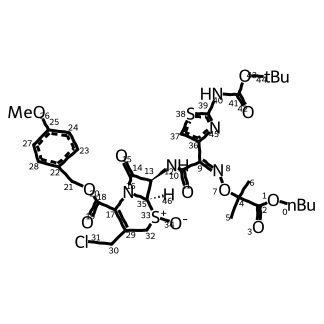 CCCCOC(=O)C(C)(C)O/N=C(\C(=O)N[C@@H]1C(=O)N2C(C(=O)OCc3ccc(OC)cc3)=C(CCl)C[S+]([O-])[C@H]12)c1csc(NC(=O)OC(C)(C)C)n1